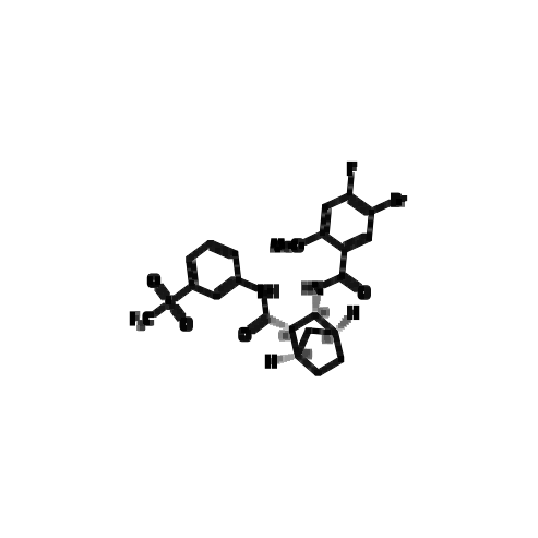 COc1cc(F)c(Br)cc1C(=O)N[C@@H]1[C@H]2CC[C@H](C2)[C@@H]1C(=O)Nc1cccc(S(=O)(=O)C(F)(F)F)c1